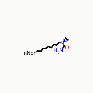 CCCCCCCCCCCCCCCCCCN(C(N)=O)N1CC1